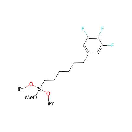 CO[Si](CCCCCCc1cc(F)c(F)c(F)c1)(OC(C)C)OC(C)C